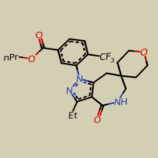 CCCOC(=O)c1ccc(C(F)(F)F)c(-n2nc(CC)c3c2CC2(CCOCC2)CNC3=O)c1